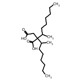 CCCCCCC(C)C(CC(=O)O)(C(=O)O)C(C)CCCCCC